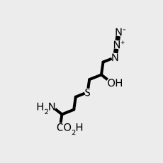 [N-]=[N+]=NCC(O)CSCCC(N)C(=O)O